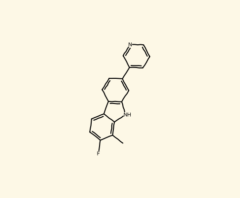 Cc1c(F)ccc2c1[nH]c1cc(-c3cccnc3)ccc12